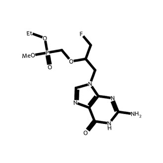 CCOP(=O)(COC(CF)Cn1cnc2c(=O)[nH]c(N)nc21)OC